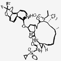 C[C@@H]1CC/C=C\[C@@H]2C[C@@]2(C(=O)NS(=O)(=O)C2CC2)NC(=O)[C@@H]2C[C@@H](Oc3nccc4c5c(ccc34)OC(F)(F)O5)CN2C(=O)[C@@H](N(C(=O)O)[C@H](C)C(F)(F)F)[C@H](C)C1